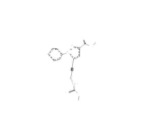 COC(=O)NCC#Cc1cc(C(=O)OC)nn1-c1ccccc1